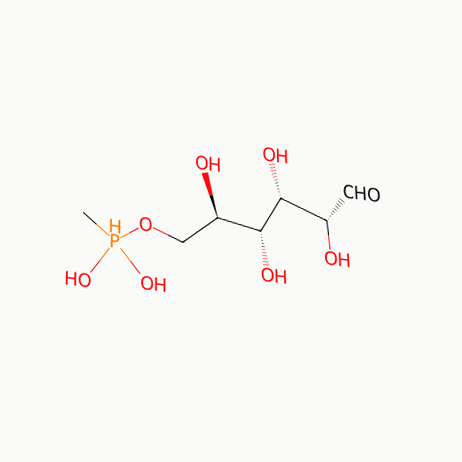 C[PH](O)(O)OC[C@@H](O)[C@@H](O)[C@H](O)[C@@H](O)C=O